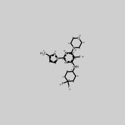 Cc1ccn(-c2nc(NC3CCC(F)(F)CC3)c(F)c(N3CCOCC3)n2)n1